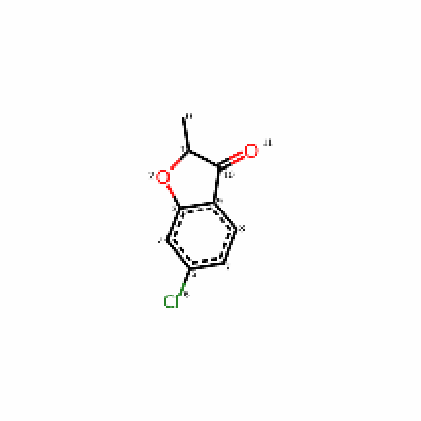 CC1Oc2cc(Cl)ccc2C1=O